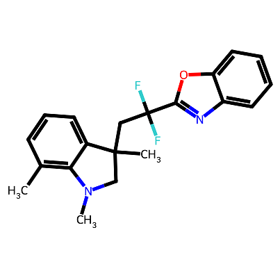 Cc1cccc2c1N(C)CC2(C)CC(F)(F)c1nc2ccccc2o1